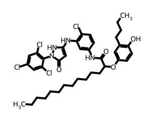 CCCCCCCCCCCCC(Oc1ccc(O)c(CCCC)c1)C(=O)Nc1ccc(Cl)c(Nc2cc(=O)n(-c3c(Cl)cc(Cl)cc3Cl)[nH]2)c1